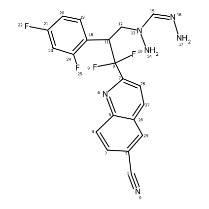 N#Cc1ccc2nc(C(F)(F)C(CN(N)/C=N\N)c3ccc(F)cc3F)ccc2c1